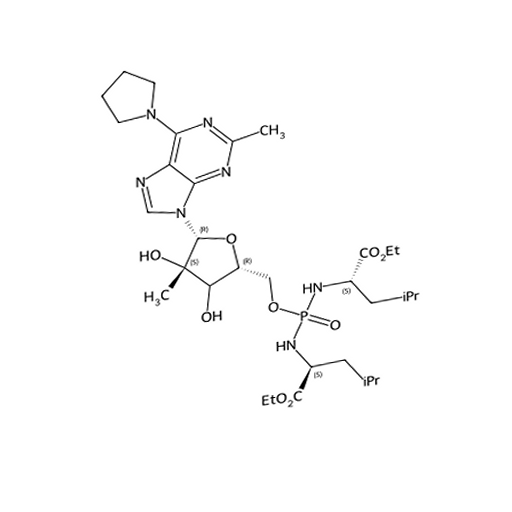 CCOC(=O)[C@H](CC(C)C)NP(=O)(N[C@@H](CC(C)C)C(=O)OCC)OC[C@H]1O[C@@H](n2cnc3c(N4CCCC4)nc(C)nc32)[C@@](C)(O)C1O